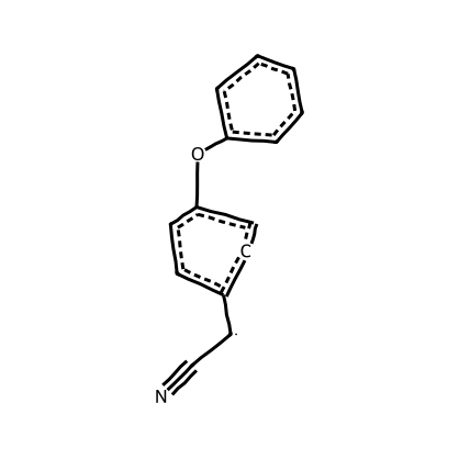 N#C[CH]c1ccc(Oc2ccccc2)cc1